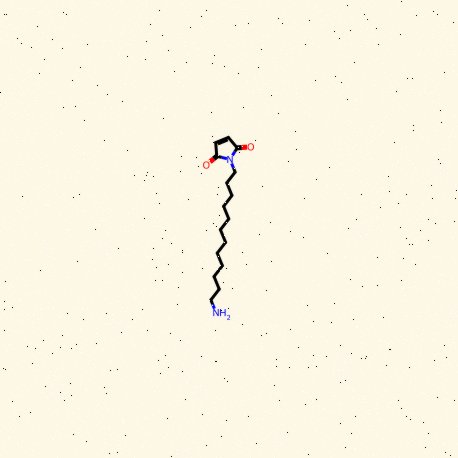 NCCCCCCCCCCCCN1C(=O)C=CC1=O